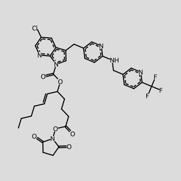 CCCC/C=C/C(CCCC(=O)ON1C(=O)CCC1=O)OC(=O)n1cc(Cc2ccc(NCc3ccc(C(F)(F)F)nc3)nc2)c2cc(Cl)cnc21